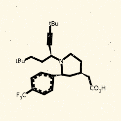 CC(C)(C)C#C[C@H](CCC(C)(C)C)N1CC[C@@H](CC(=O)O)C[C@H]1c1ccc(C(F)(F)F)cc1